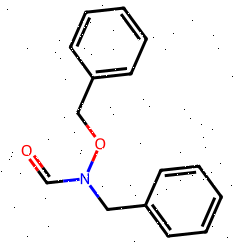 O=CN(Cc1ccccc1)OCc1ccccc1